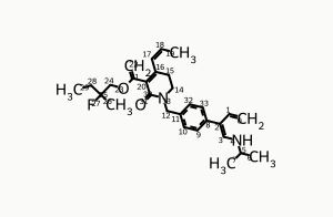 C=C/C(=C\NC(C)C)c1ccc(CN2CCC(/C=C\C)=C(C(=C)OCC(C)(F)CC)C2=O)cc1